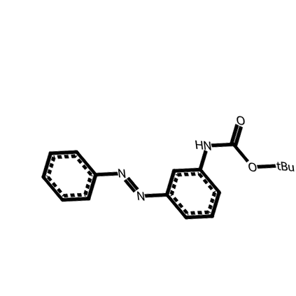 CC(C)(C)OC(=O)Nc1cccc(N=Nc2ccccc2)c1